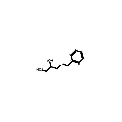 OCC(O)CSCc1[c]cccc1